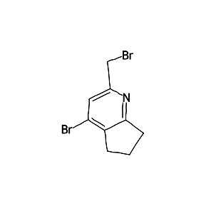 BrCc1cc(Br)c2c(n1)CCC2